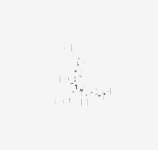 O=C(NCC(O)CO)c1ccc(O)cc1OC[C@@H](O)CN1CCC2(CC1)Cc1cc(Cl)ccc1O2